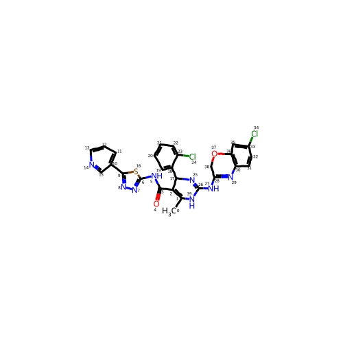 CC1=C(C(=O)Nc2nnc(-c3cccnc3)s2)C(c2ccccc2Cl)N=C(NC2=Nc3ccc(Cl)cc3OC2)N1